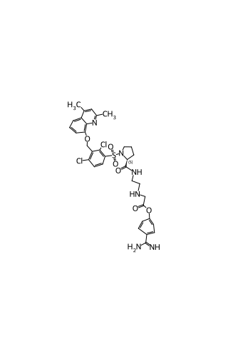 Cc1cc(C)c2cccc(OCc3c(Cl)ccc(S(=O)(=O)N4CCC[C@H]4C(=O)NCCNCC(=O)Oc4ccc(C(=N)N)cc4)c3Cl)c2n1